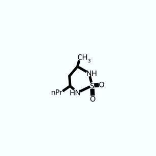 CCCC1CC(C)NS(=O)(=O)N1